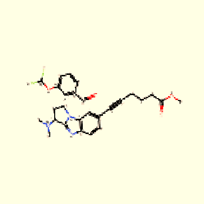 COC(=O)CCCC#Cc1ccc2nc3n(c2c1)[C@@H](c1c(C=O)cccc1OC(F)F)CC3N(C)C